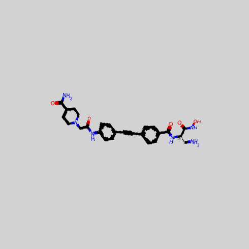 NC[C@H](NC(=O)c1ccc(C#Cc2ccc(NC(=O)CN3CCC(C(N)=O)CC3)cc2)cc1)C(=O)NO